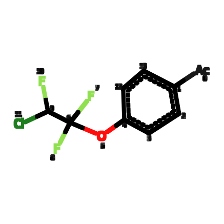 CC(=O)c1ccc(OC(F)(F)C(F)Cl)cc1